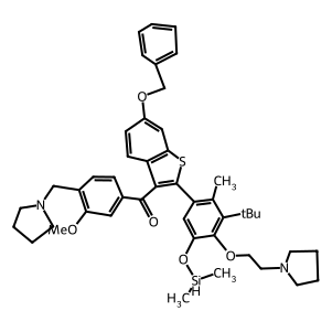 COc1cc(C(=O)c2c(-c3cc(O[SiH](C)C)c(OCCN4CCCC4)c(C(C)(C)C)c3C)sc3cc(OCc4ccccc4)ccc23)ccc1CN1CCCC1